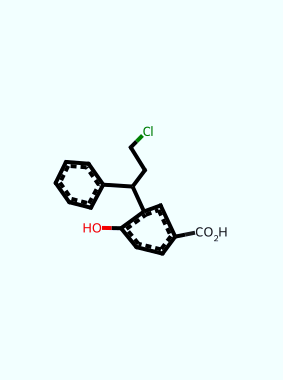 O=C(O)c1ccc(O)c(C(CCCl)c2ccccc2)c1